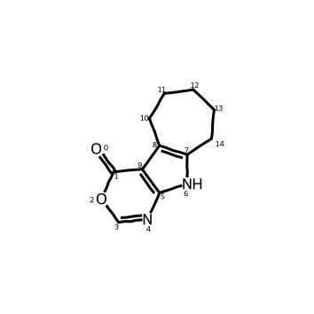 O=c1ocnc2[nH]c3c(c12)CCCCC3